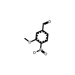 COc1cc([C]=O)ccc1[N+](=O)[O-]